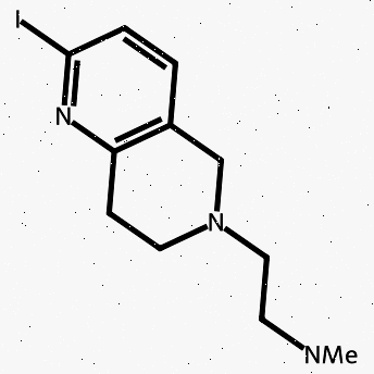 CNCCN1CCc2nc(I)ccc2C1